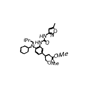 COCC(CC(=O)OC)c1ccc(N(CC(C)C)C2CCCCC2)c(NC(=O)Nc2cc(C)on2)c1